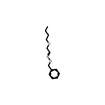 CCCCOCC=NOCc1ccccc1